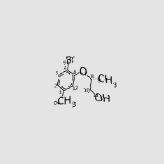 Cc1ccc(Br)c(O[C@H](C)CO)c1